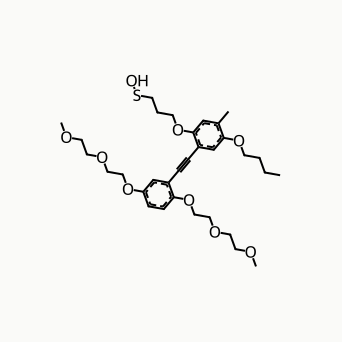 CCCCOc1cc(C#Cc2cc(OCCOCCOC)ccc2OCCOCCOC)c(OCCCSO)cc1C